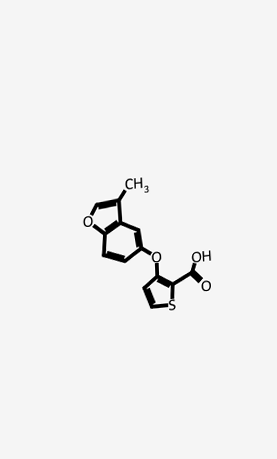 Cc1coc2ccc(Oc3ccsc3C(=O)O)cc12